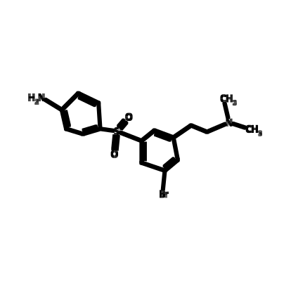 CN(C)CCc1cc(Br)cc(S(=O)(=O)c2ccc(N)cc2)c1